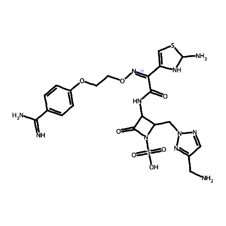 N=C(N)c1ccc(OCCO/N=C(\C(=O)NC2C(=O)N(S(=O)(=O)O)C2Cn2ncc(CN)n2)C2=CSC(N)N2)cc1